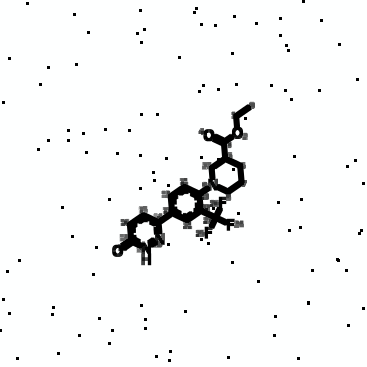 CCOC(=O)C1CCCN(c2ccc(-c3ccc(=O)[nH]n3)cc2C(F)(F)F)C1